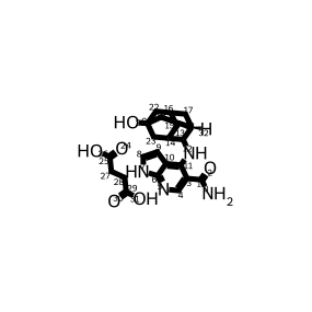 NC(=O)c1cnc2[nH]ccc2c1NC1C2CC3C[C@H]1CC(O)(C3)C2.O=C(O)CCC(=O)O